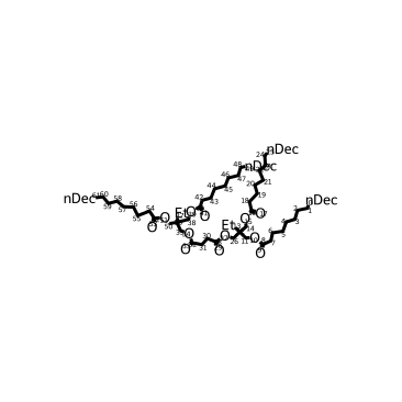 CCCCCCCCCCCCCCCCCC(=O)OCC(CC)(COC(=O)CCCCCCCCCCCCCCCCC)COC(=O)CCC(=O)OCC(CC)(COC(=O)CCCCCCCCCCCCCCCCC)COC(=O)CCCCCCCCCCCCCCCCC